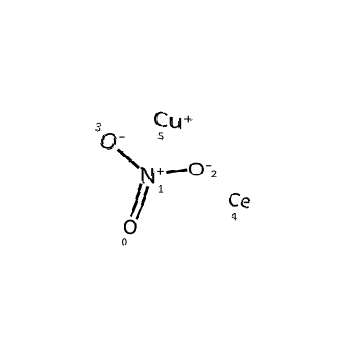 O=[N+]([O-])[O-].[Ce].[Cu+]